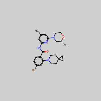 C[C@@H]1CN(c2cc(C#N)cc(NC(=O)c3ccc(Br)cc3N3CCC4(CC3)CC4)n2)CCO1